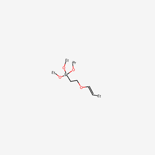 CCC=COCC[Si](OCC)(OCC)OC(C)C